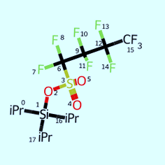 CC(C)[Si](OS(=O)(=O)C(F)(F)C(F)(F)C(F)(F)C(F)(F)F)(C(C)C)C(C)C